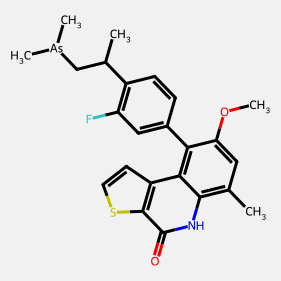 COc1cc(C)c2[nH]c(=O)c3sccc3c2c1-c1ccc(C(C)C[As](C)C)c(F)c1